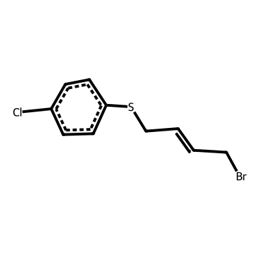 Clc1ccc(SCC=[C]CBr)cc1